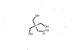 OC[P+](CO)(CO)CO.[SH-]